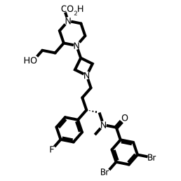 CN(C[C@@H](CCN1CC(N2CCN(C(=O)O)CC2CCO)C1)c1ccc(F)cc1)C(=O)c1cc(Br)cc(Br)c1